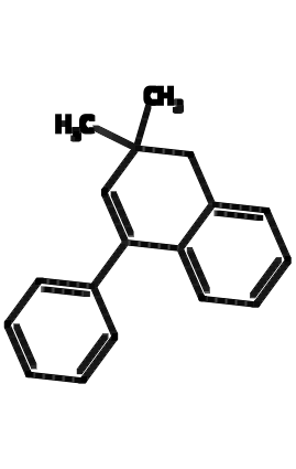 CC1(C)C=C(c2ccccc2)c2ccccc2C1